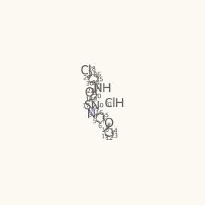 CN1/C(=N\c2ccc(Oc3ccccc3)cc2)SCC1CC(=O)Nc1ccc(Cl)cc1.Cl